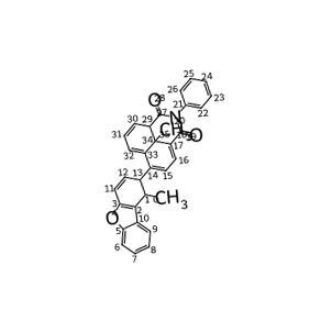 CC1c2c(oc3ccccc23)C=CC1C1=CC=C2C(=O)N(c3ccccc3)C(=O)C3C=CC=C1C23C